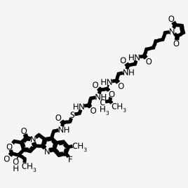 CC[C@@]1(O)C(=O)OCc2c1cc1n(c2=O)Cc2c-1nc1cc(F)c(C)cc1c2CNC(=O)CSCNC(=O)CNC(=O)[C@@H](NC(=O)CNC(=O)CNC(=O)CCCCCN1C(=O)C=CC1=O)OC(C)C